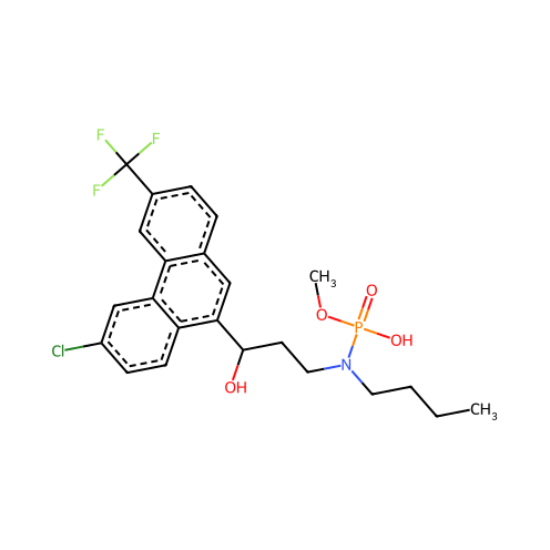 CCCCN(CCC(O)c1cc2ccc(C(F)(F)F)cc2c2cc(Cl)ccc12)P(=O)(O)OC